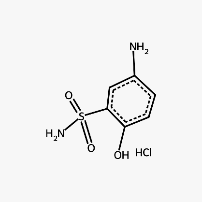 Cl.Nc1ccc(O)c(S(N)(=O)=O)c1